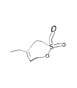 CC1=COS(=O)(=O)C1